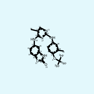 [2H]C([2H])([2H])Oc1ccc(Nc2ncc(C)c(Nc3ccc4oc(=O)[nH]c4c3)n2)cc1C